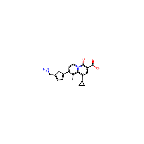 Cc1c(C2=CC=C(CN)C2)ccn2c(=O)c(C(=O)O)cc(C3CC3)c12